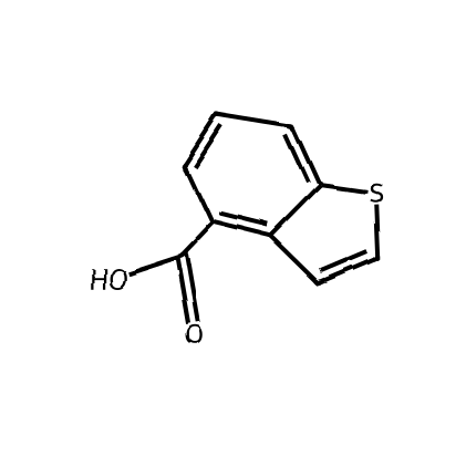 O=C(O)c1cccc2sccc12